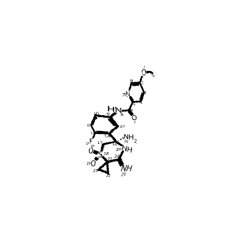 COc1ccc(C(=O)Nc2ccc(F)c([C@]3(N)CS(=O)(=O)C4(CC4)C(=N)N3)c2)nc1